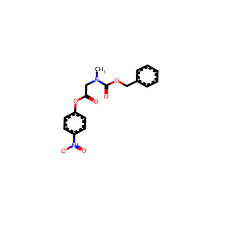 CN(CC(=O)Oc1ccc([N+](=O)[O-])cc1)C(=O)OCc1ccccc1